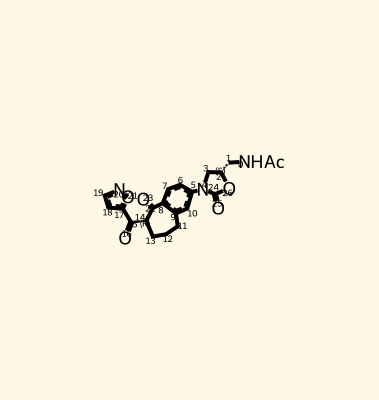 CC(=O)NC[C@H]1CN(c2ccc3c(c2)CCC[C@@H](C(=O)c2ccno2)C3=O)C(=O)O1